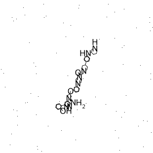 Nc1nnc(-c2ccccc2O)cc1N1CC(Oc2cccc(N3CCN(C(=O)CN4CCC(c5ccc(NC6CCCNC6)cc5)CC4)CC3)c2)C1